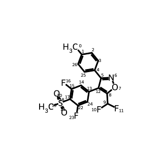 Cc1ccc(-c2noc(C(F)F)c2-c2cc(F)c(S(C)(=O)=O)c(F)c2)cc1